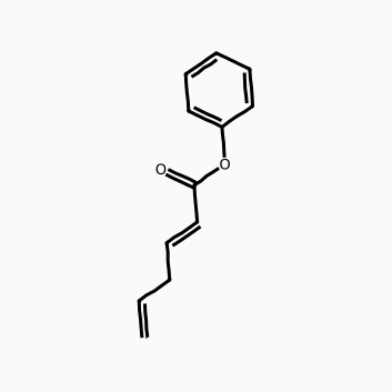 [CH]=CC/C=C/C(=O)Oc1ccccc1